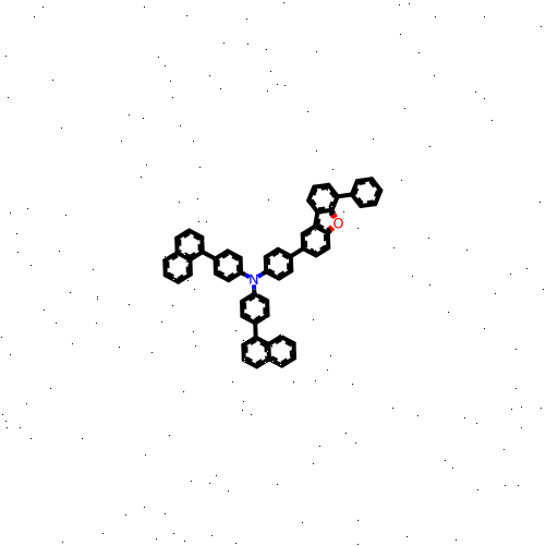 c1ccc(-c2cccc3c2oc2ccc(-c4ccc(N(c5ccc(-c6cccc7ccccc67)cc5)c5ccc(-c6cccc7ccccc67)cc5)cc4)cc23)cc1